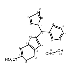 O=C(O)C1=Cc2sc(C(c3ccccc3)n3ccnc3)cc2CC1.O=CO